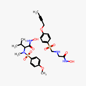 CC#CCOc1ccc(S(=O)(=O)CNCC(=O)NO)cc1.COc1ccc(S(=O)(=O)N(C)C(C(=O)NO)C(C)C)cc1